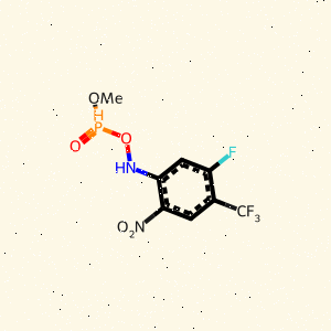 CO[PH](=O)ONc1cc(F)c(C(F)(F)F)cc1[N+](=O)[O-]